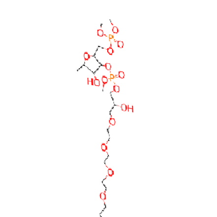 CCCCOCCOCCOCCOCC(O)COP(=O)(OC)OC1C(COP(=O)(OC)OC)OC(C)C1O